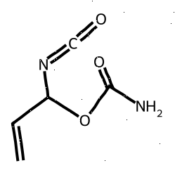 C=CC(N=C=O)OC(N)=O